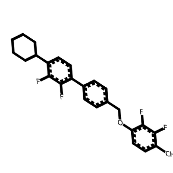 Cc1ccc(OCc2ccc(-c3ccc(C4CCCCC4)c(F)c3F)cc2)c(F)c1F